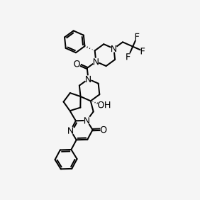 O=C(N1CC[C@@]2(O)Cn3c(nc(-c4ccccc4)cc3=O)C3CCC2(C3)C1)N1CCN(CC(F)(F)F)C[C@H]1c1ccccc1